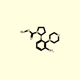 CC(C)(C)OC(=O)N1CCC[C@H]1c1cccc(N)c1N1CCOCC1